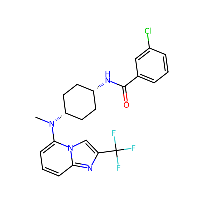 CN(c1cccc2nc(C(F)(F)F)cn12)[C@H]1CC[C@@H](NC(=O)c2cccc(Cl)c2)CC1